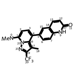 CNc1ccc(-c2ccc3[nH]c(=O)ccc3c2)c2c(C)c(C(F)(F)F)nn12